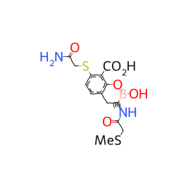 CSCC(=O)N[C@H]1Cc2ccc(SCC(N)=O)c(C(=O)O)c2OB1O